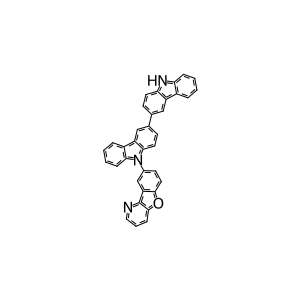 c1ccc2c(c1)[nH]c1ccc(-c3ccc4c(c3)c3ccccc3n4-c3ccc4oc5cccnc5c4c3)cc12